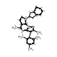 Cc1cc(C)c(-c2c(C)nn3c2nc(C)c2ccn(C4Cc5ccccc5C4)c23)c(C)c1